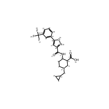 O=C(NC1CCN(CC2CC2)CC1C(=O)O)c1cc(-c2cccc(C(F)(F)F)c2)on1